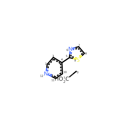 CC(=O)O.c1cc(-c2nccs2)ccn1